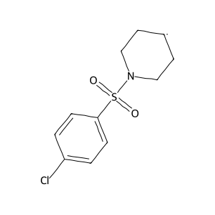 O=S(=O)(c1ccc(Cl)cc1)N1CC[CH]CC1